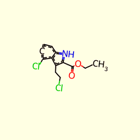 CCOC(=O)c1[nH]c2cccc(Cl)c2c1CCCl